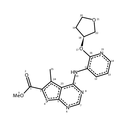 COC(=O)c1sc2ncnc(Nc3cccnc3O[C@H]3CCOC3)c2c1C